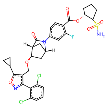 NS(=O)(=O)[C@@H]1CCC[C@H]1OC(=O)c1ccc(N2C(=O)[C@@H]3C[C@H]2C[C@H]3OCc2c(-c3c(Cl)cccc3Cl)noc2C2CC2)cc1F